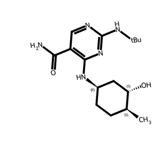 C[C@H]1CC[C@@H](Nc2nc(NC(C)(C)C)ncc2C(N)=O)C[C@@H]1O